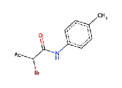 CC(=O)C(Br)C(=O)Nc1ccc(C)cc1